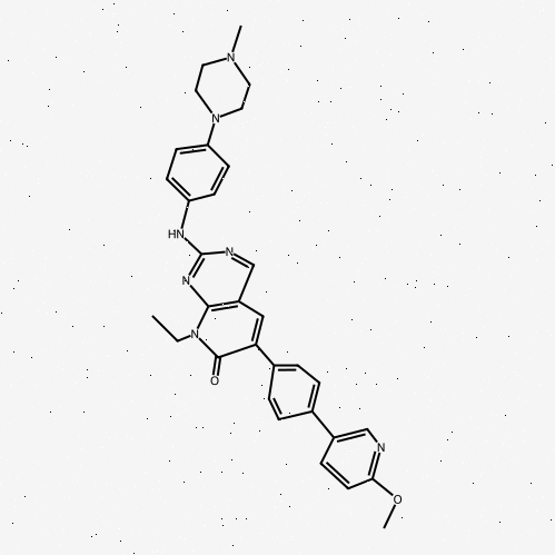 CCn1c(=O)c(-c2ccc(-c3ccc(OC)nc3)cc2)cc2cnc(Nc3ccc(N4CCN(C)CC4)cc3)nc21